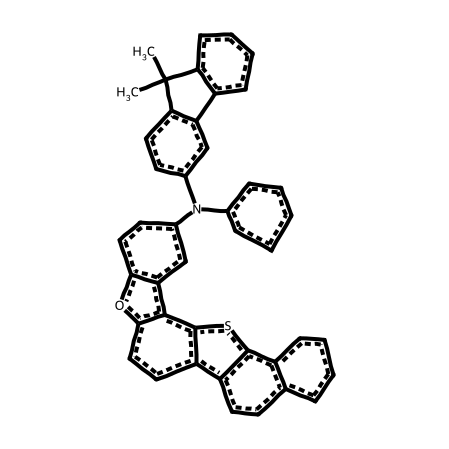 CC1(C)c2ccccc2-c2cc(N(c3ccccc3)c3ccc4oc5ccc6c7ccc8ccccc8c7sc6c5c4c3)ccc21